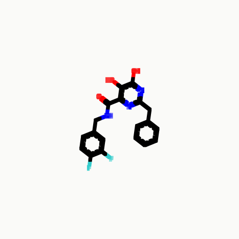 O=C(NCc1ccc(F)c(F)c1)c1nc(Cc2ccccc2)nc(O)c1O